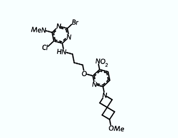 CNc1nc(Br)nc(NCCCOc2nc(N3CC4(CC(OC)C4)C3)ccc2[N+](=O)[O-])c1Cl